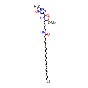 CCC=CCC=CCC=CCC=CCC=CCC=CCCC(=O)NCCCCC(NC(=O)c1c[n+]([O-])c(C)cn1)C(=O)OC